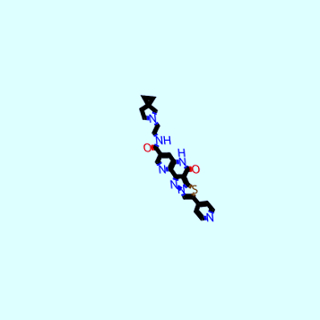 O=C(NCCN1CCC2(CC2)C1)c1cnc2c(c1)[nH]c(=O)c1c2nn2cc(-c3ccncc3)sc12